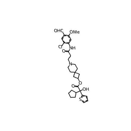 COc1cc(NC(=O)CCN2CCC3(CC2)CC(OC(=O)C(O)(c2cccs2)C2CCCC2)C3)c(Cl)cc1C=O